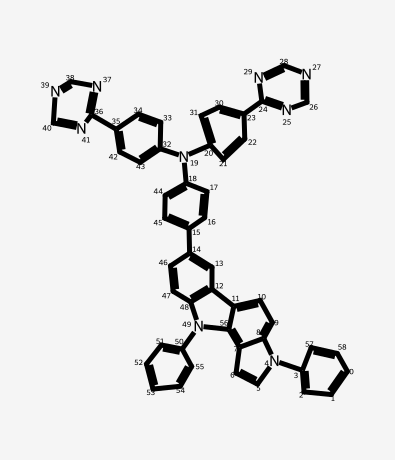 c1ccc(-n2ccc3c2ccc2c4cc(-c5ccc(N(c6ccc(-c7ncncn7)cc6)c6ccc(-c7ncncn7)cc6)cc5)ccc4n(-c4ccccc4)c23)cc1